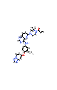 C=CC(=O)N1CCN(c2ccc3ncnc(Nc4ccc(Oc5ccn6ncnc6c5)c(C(F)(F)F)c4)c3n2)CC1(C)C